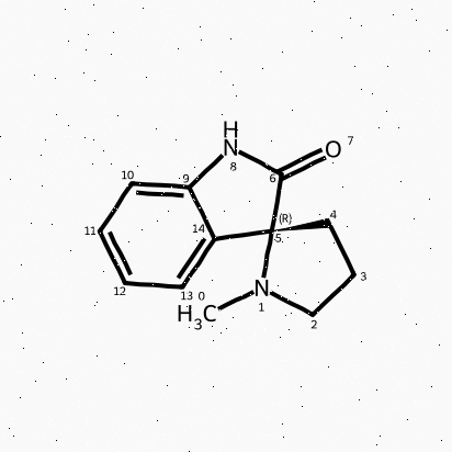 CN1CCC[C@@]12C(=O)Nc1ccccc12